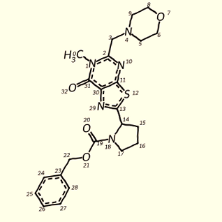 Cn1c(CN2CCOCC2)nc2sc(C3CCCN3C(=O)OCc3ccccc3)nc2c1=O